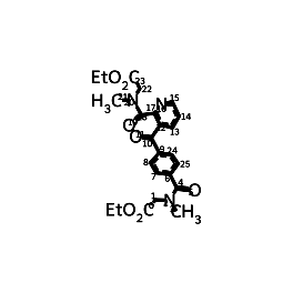 CCOC(=O)CN(C)C(=O)c1ccc(C(=O)c2cccnc2C(=O)N(C)CC(=O)OCC)cc1